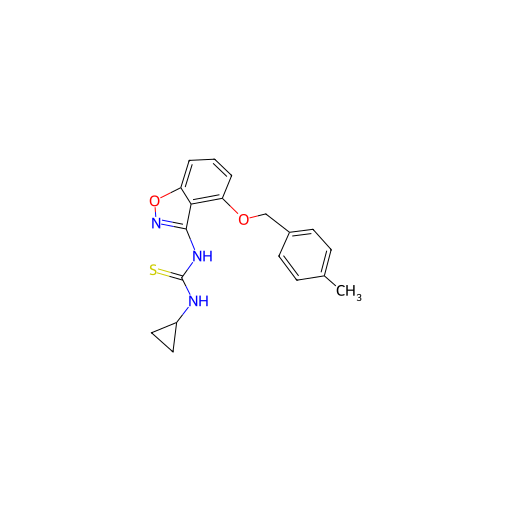 Cc1ccc(COc2cccc3onc(NC(=S)NC4CC4)c23)cc1